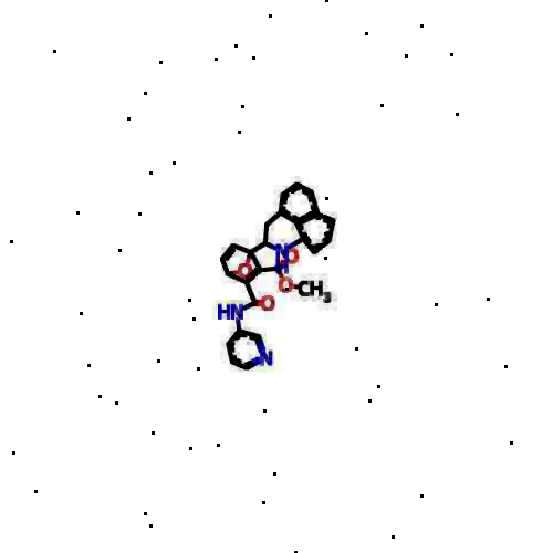 COC(=O)C1=C(C(=O)Nc2cccnc2)C2C=CC1(C(Cc1ccccc1)Nc1ccccc1)O2